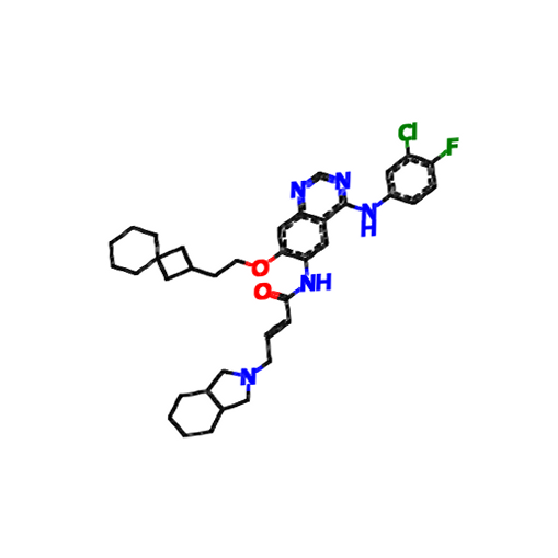 O=C(/C=C/CN1CC2CCCCC2C1)Nc1cc2c(Nc3ccc(F)c(Cl)c3)ncnc2cc1OCCC1CC2(CCCCC2)C1